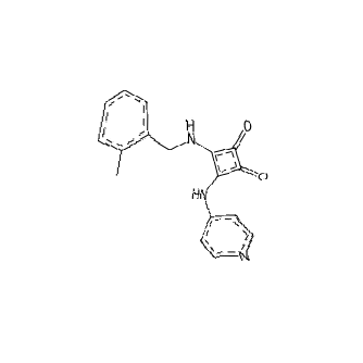 Cc1ccccc1CNc1c(Nc2ccncc2)c(=O)c1=O